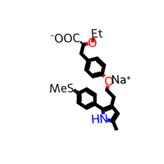 CCO[C@@H](Cc1ccc(OCCc2cc(C)[nH]c2-c2ccc(SC)cc2)cc1)C(=O)[O-].[Na+]